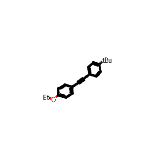 CCOc1ccc(C#Cc2ccc(C(C)(C)C)cc2)cc1